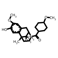 COc1cc2c(cc1O)C1(C)CCN(C(=O)C3CCC(OC)CC3)C(C2)C1(C)C